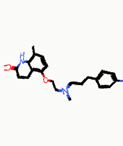 Cc1ccc(OCCN(C)CCCc2ccc(N)cc2)c2c1NC(=O)CC2